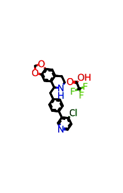 Clc1ccncc1-c1ccc(CC2NCCc3cc4c(cc32)OCO4)cc1.O=C(O)C(F)(F)F